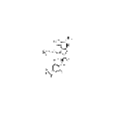 CC(c1c(F)cc(C(F)(F)F)cc1F)N(C)C(=O)c1cc2nc(N)c3c(c2n1COCC[Si](C)(C)C)COC3